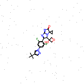 CC(C)(C)c1cnn(-c2cc(F)c(C3=NC4=NC(=O)C5(CC5)N4C3C3(O)COC3)c(F)c2)c1